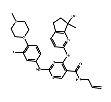 C=CCNC(=O)c1cnc(Nc2ccc(N3CCN(C)CC3)c(F)c2)nc1Nc1ccc2c(n1)C(C)(O)CC2